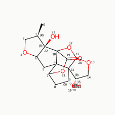 C[C@@H]1COC2CC34C5C[C@@H](C(C)(C)C)C36C(OC[C@@H]6O)OC4(C(=O)O5)[C@]21O